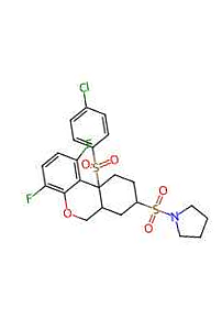 O=S(=O)(C1CCC2(S(=O)(=O)c3ccc(Cl)cc3)c3c(F)ccc(F)c3OCC2C1)N1CCCC1